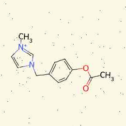 CC(=O)Oc1ccc(Cn2cc[n+](C)c2)cc1